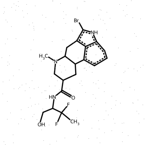 CN1CC(C(=O)NC(CO)C(C)(F)F)CC2c3cccc4[nH]c(Br)c(c34)CC21